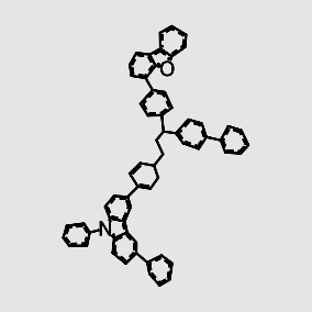 C1=CC(CCC(c2ccc(-c3ccccc3)cc2)c2ccc(-c3cccc4c3oc3ccccc34)cc2)CC=C1c1ccc2c(c1)c1cc(-c3ccccc3)ccc1n2-c1ccccc1